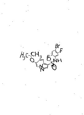 CC(C)Oc1ccc2c(S(=O)(=O)Nc3cc(F)c(Br)cc3F)cnn2c1